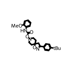 COc1ccccc1NC(=O)ON1CCC2(CC1)CC(c1ccc(C(C)(C)C)cc1)=NO2